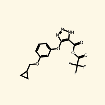 O=C(OC(=O)C(F)(F)F)c1[nH]nnc1Oc1cccc(OCC2CC2)c1